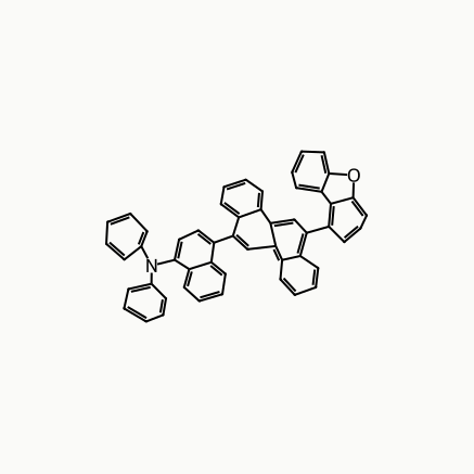 c1ccc(N(c2ccccc2)c2ccc(-c3cc4c5ccccc5c(-c5cccc6oc7ccccc7c56)cc4c4ccccc34)c3ccccc23)cc1